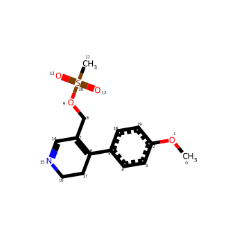 COc1ccc(C2=C(COS(C)(=O)=O)C=NCC2)cc1